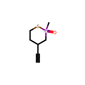 C#CC1CCSP(C)(=O)C1